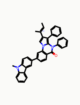 C/C=C(\C)c1cn2c3cc(-c4ccc5c(c4)c4ccccc4n5C)ccc3c(=O)n(-c3ccccc3)c2c1-c1ccccc1